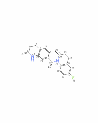 C=C1CCc2ccc(C(=C)N3c4ccc(F)cc4CC[C@@H]3C)cc2N1